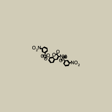 O=c1oc2c(OS(=O)(=O)c3cccc([N+](=O)[O-])c3)cccc2cc1NS(=O)(=O)c1cccc([N+](=O)[O-])c1